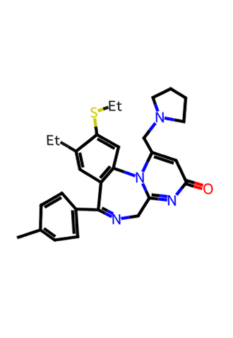 CCSc1cc2c(cc1CC)C(c1ccc(C)cc1)=NCc1nc(=O)cc(CN3CCCC3)n1-2